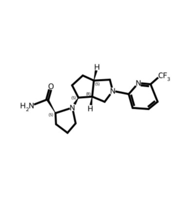 NC(=O)[C@@H]1CCCN1[C@H]1CC[C@@H]2CN(c3cccc(C(F)(F)F)n3)C[C@@H]21